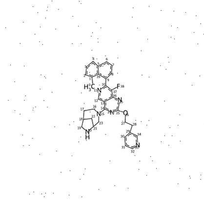 Cc1cccc2cccc(-c3ncc4c(N5CCC6CNC(C6)C5)nc(OCCc5cccnc5)nc4c3F)c12